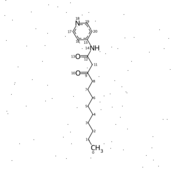 CCCCCCCCCC(=O)CC(=O)Nc1ccncc1